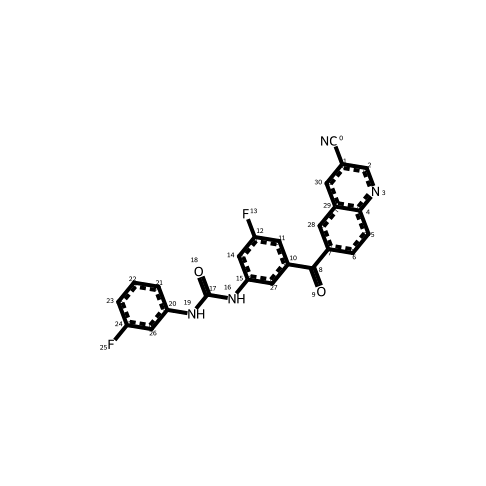 N#Cc1cnc2ccc(C(=O)c3cc(F)cc(NC(=O)Nc4cccc(F)c4)c3)cc2c1